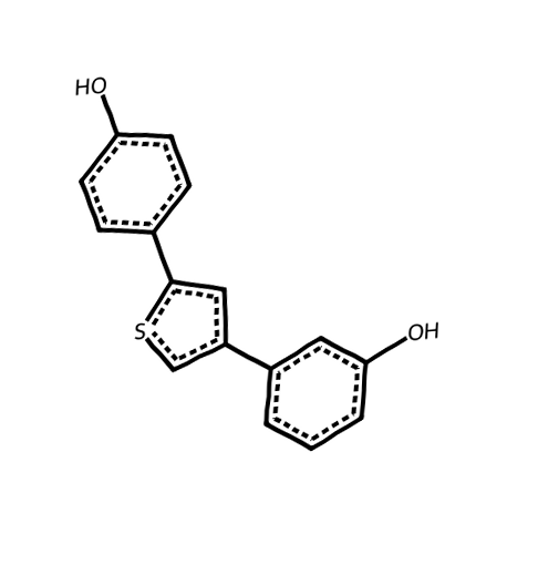 Oc1ccc(-c2cc(-c3cccc(O)c3)cs2)cc1